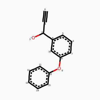 C#CC([O])c1cccc(Oc2ccccc2)c1